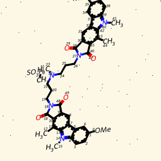 COc1ccc2c(c1)c1cc3c(c(C)c1n2C)C(=O)N(CCCN(C)CCCN1C(=O)c2cc4c5cc(OC)ccc5n(C)c4c(C)c2C1=O)C3=O.CS(=O)(=O)O